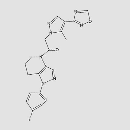 Cc1c(-c2ncon2)cnn1CC(=O)N1CCCc2c1cnn2-c1ccc(F)cc1